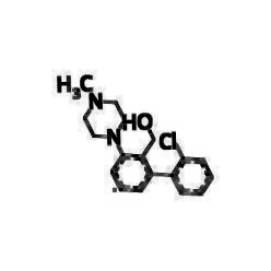 CN1CCN(c2c[c]cc(-c3ccccc3Cl)c2CO)CC1